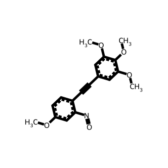 COc1ccc(C#Cc2cc(OC)c(OC)c(OC)c2)c(N=O)c1